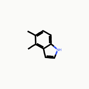 Cc1ccc2[nH]ccc2c1C